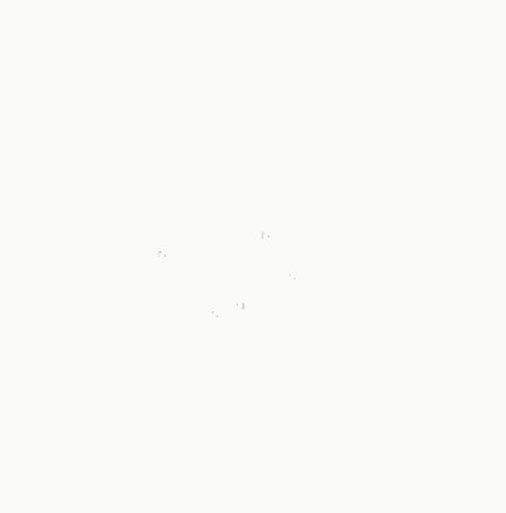 Cc1cc2nc(-c3[nH]nc4c3CCNC4)[nH]c2cc1C.Cl